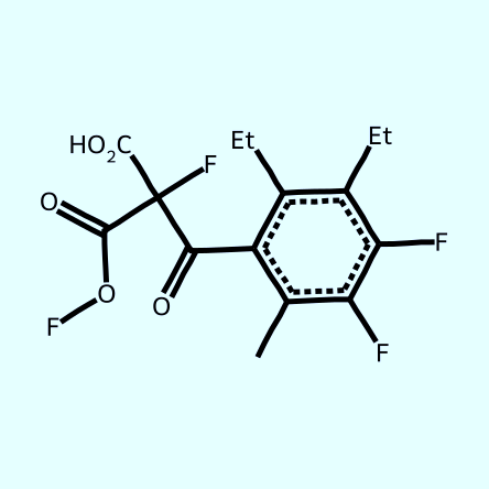 CCc1c(F)c(F)c(C)c(C(=O)C(F)(C(=O)O)C(=O)OF)c1CC